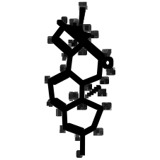 CC1=CC2=CC=C3C4=CC[C@@]5(C)CCC(=O)[C@@]45CCC3[C@@]2(C)CC1